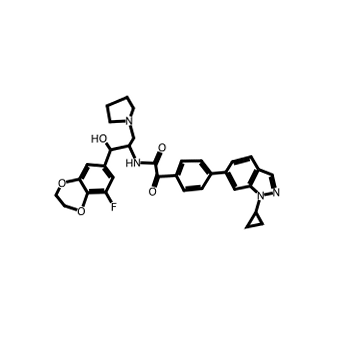 O=C(NC(CN1CCCC1)C(O)c1cc(F)c2c(c1)OCCO2)C(=O)c1ccc(-c2ccc3cnn(C4CC4)c3c2)cc1